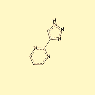 c1cnc(-c2c[nH]nn2)nc1